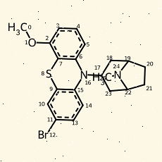 COc1cccc2c1Sc1cc(Br)ccc1N2C1CC2CCC(C1)N2C